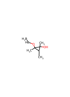 BBOC1(C)C(C)C1(C)O